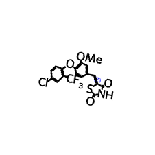 COc1cc(/C=C2\SC(=O)NC2=O)ccc1Oc1ccc(Cl)cc1C(F)(F)F